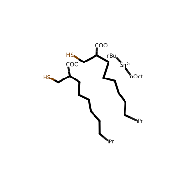 CC(C)CCCCCCC(CS)C(=O)[O-].CC(C)CCCCCCC(CS)C(=O)[O-].CCCCCCC[CH2][Sn+2][CH2]CCC